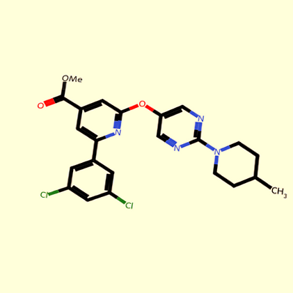 COC(=O)c1cc(Oc2cnc(N3CCC(C)CC3)nc2)nc(-c2cc(Cl)cc(Cl)c2)c1